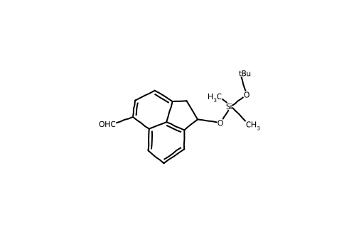 CC(C)(C)O[Si](C)(C)OC1Cc2ccc(C=O)c3cccc1c23